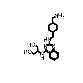 NCC1CCC(CNc2nc(NC(CO)CO)c3ccccc3n2)CC1